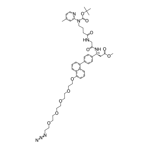 COC(=O)C[C@H](NC(=O)CNC(=O)CCCN(C(=O)OC(C)(C)C)c1cc(C)ccn1)c1ccc(-c2cccc3c(OCCOCCOCCOCCOCCN=[N+]=[N-])cccc23)cc1